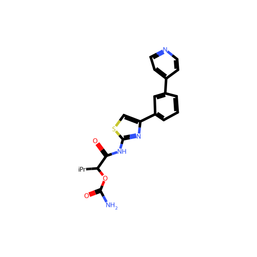 CC(C)C(OC(N)=O)C(=O)Nc1nc(-c2cccc(-c3ccncc3)c2)cs1